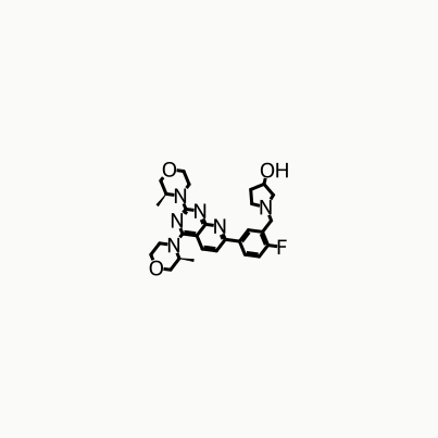 C[C@H]1COCCN1c1nc(N2CCOC[C@@H]2C)c2ccc(-c3ccc(F)c(CN4CCC(O)C4)c3)nc2n1